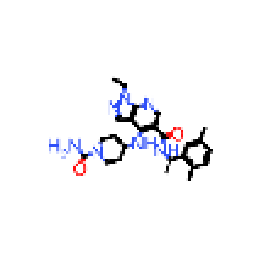 CCn1ncc2c(NC3CCN(C(N)=O)CC3)c(C(=O)N[C@H](C)c3cc(C)ccc3C)cnc21